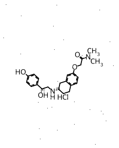 CN(C)C(=O)COc1ccc2c(c1)C[C@@H](NC[C@H](O)c1ccc(O)cc1)CC2.Cl